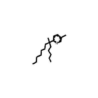 CCCCCCCC(C)(CCCCC)c1ccc(C)cn1